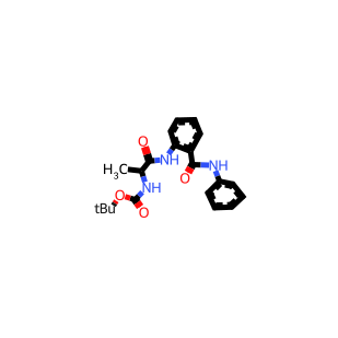 CC(NC(=O)OC(C)(C)C)C(=O)Nc1ccccc1C(=O)Nc1ccccc1